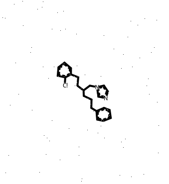 Clc1ccccc1CCC(CCCc1ccccc1)Cn1ccnc1